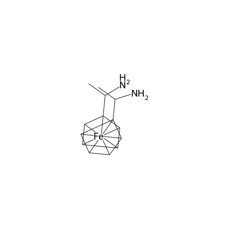 CC(N)[C]12[CH]3[CH]4[CH]5[CH]1[Fe]45321678[CH]2[CH]1[CH]6[C]7(C(C)N)[CH]28